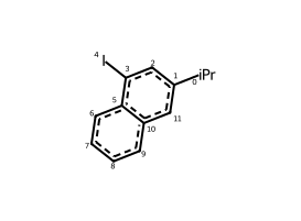 CC(C)c1cc(I)c2ccccc2c1